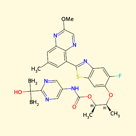 BC(B)(O)c1ncc(NC(=O)O[C@H](C)[C@H](C)Oc2cc3sc(-c4cc(C)cc5nc(OC)cnc45)nc3cc2F)cn1